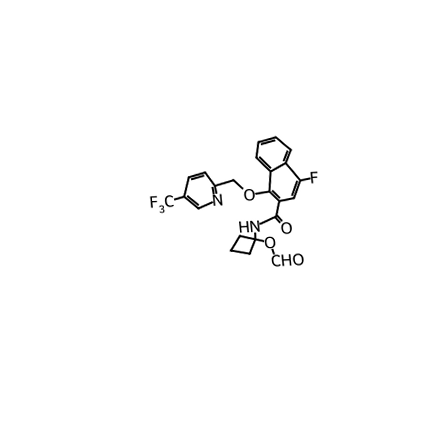 O=COC1(NC(=O)c2cc(F)c3ccccc3c2OCc2ccc(C(F)(F)F)cn2)CCC1